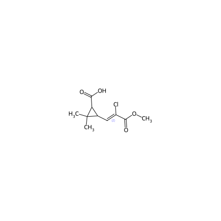 COC(=O)/C(Cl)=C/C1C(C(=O)O)C1(C)C